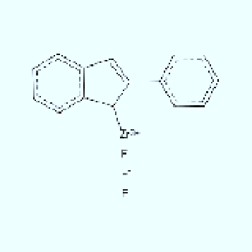 [F-].[F-].[F-].[Zr+3][CH]1C(c2ccccc2)=Cc2ccccc21